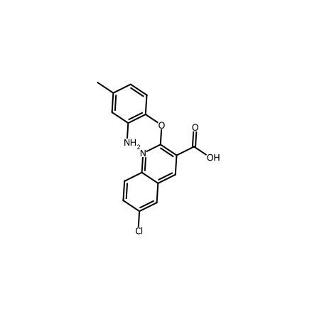 Cc1ccc(Oc2nc3ccc(Cl)cc3cc2C(=O)O)c(N)c1